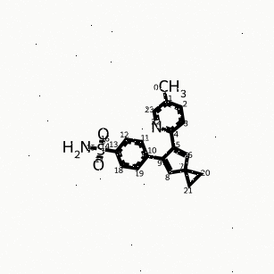 Cc1ccc(C2=CC3(C=C2c2ccc(S(N)(=O)=O)cc2)CC3)nc1